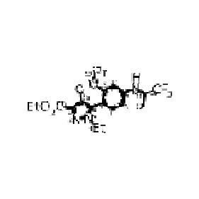 CCOC(=O)c1nn(CC)c(-c2ccc(N[C@H](C)C(F)(F)F)cc2OC(C)C)c1Cl